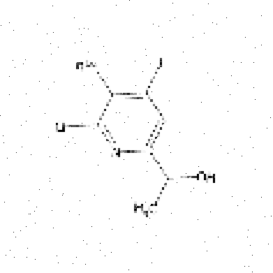 CCCc1c(I)cc(C(C)O)nc1Cl